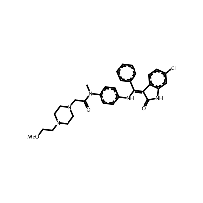 COCCN1CCN(CC(=O)N(C)c2ccc(N/C(=C3\C(=O)Nc4cc(Cl)ccc43)c3ccccc3)cc2)CC1